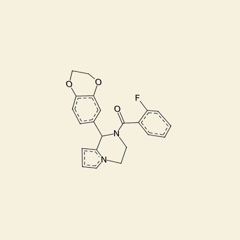 O=C(c1ccccc1F)N1CCn2cccc2C1c1ccc2c(c1)OCCO2